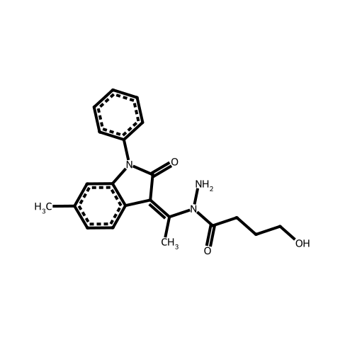 C/C(=C1/C(=O)N(c2ccccc2)c2cc(C)ccc21)N(N)C(=O)CCCO